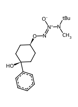 CN(/[N+]([O-])=N/O[C@H]1CC[C@](O)(c2ccccc2)CC1)C(C)(C)C